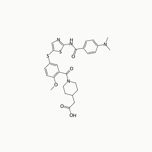 COc1ccc(Sc2cnc(NC(=O)c3ccc(N(C)C)cc3)s2)cc1C(=O)N1CCC(CC(=O)O)CC1